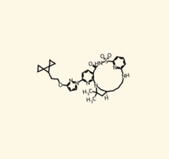 CC1(C)C[C@@H]2CCCNc3cccc(n3)S(=O)(=O)NC(=O)c3ccc(-n4ccc(OCCC5C6(CC6)C56CC6)n4)nc3N1C2